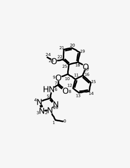 CCn1nnc(NC(=O)OC2c3ccccc3Oc3cccc(OC)c32)n1